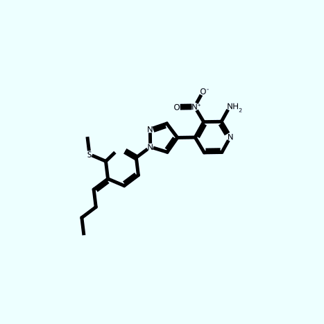 C=C(/C=C\C(=C/CCC)C(C)SC)n1cc(-c2ccnc(N)c2[N+](=O)[O-])cn1